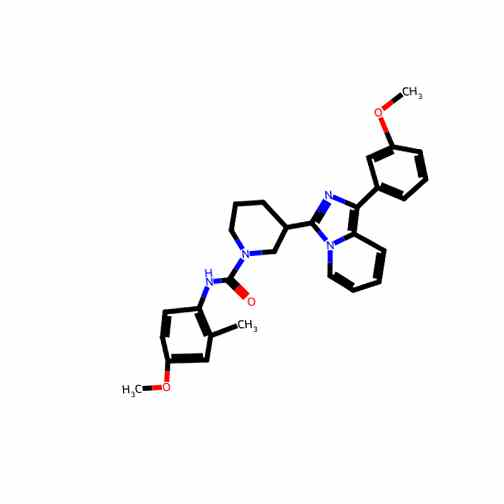 COc1cccc(-c2nc(C3CCCN(C(=O)Nc4ccc(OC)cc4C)C3)n3ccccc23)c1